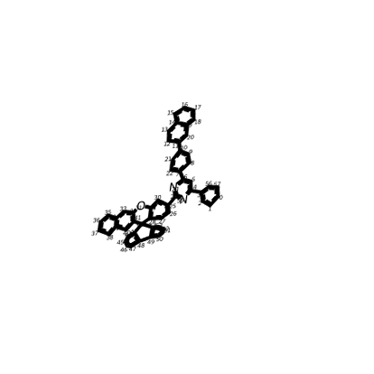 c1ccc(-c2cc(-c3ccc(-c4ccc5ccccc5c4)cc3)nc(-c3ccc4c(c3)Oc3cc5ccccc5cc3C43c4ccccc4-c4ccccc43)n2)cc1